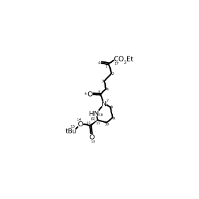 C=C(CCCC(=O)N1CCC[C@@H](C(=O)OC(C)(C)C)N1)C(=O)OCC